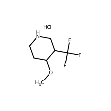 COC1CCNCC1C(F)(F)F.Cl